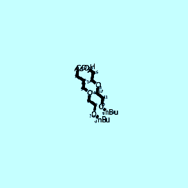 CCCCOCCOCCCC(=O)O.CCCCOCCOCCOC(C)=O